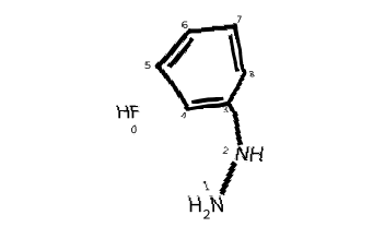 F.NNc1ccccc1